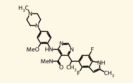 CNC(=O)c1c(Nc2ccc(N3CCN(C)CC3)cc2OC)ncnc1C(C)c1cc(F)c2[nH]c(C)cc2c1F